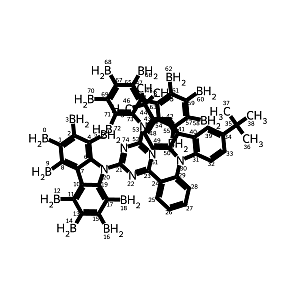 Bc1c(B)c(B)c2c(c1B)c1c(B)c(B)c(B)c(B)c1n2-c1nc(-c2ccccc2-n2c3ccc(C(C)(C)C)cc3c3cc(C(C)(C)C)ccc32)nc(-n2c3c(B)c(B)c(B)c(B)c3c3c(B)c(B)c(B)c(B)c32)n1